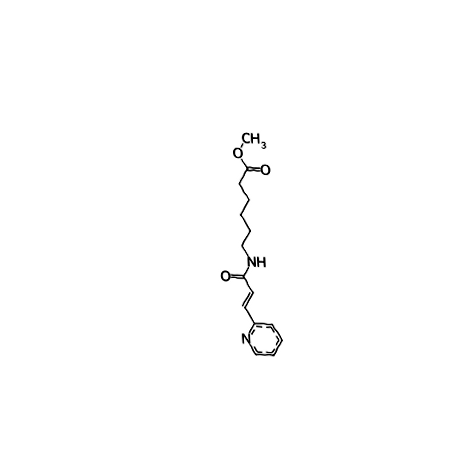 COC(=O)CCCCCNC(=O)C=Cc1ccccn1